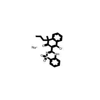 CCCC1(C)C(=O)C(C2=NS(=O)(=O)c3ccccc3N2)=C([O-])c2ccccc21.[Na+]